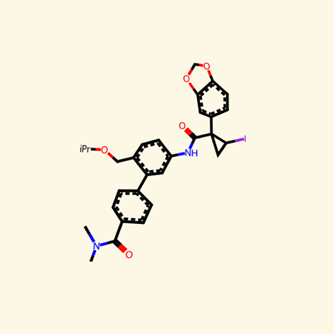 CC(C)OCc1ccc(NC(=O)C2(c3ccc4c(c3)OCO4)CC2I)cc1-c1ccc(C(=O)N(C)C)cc1